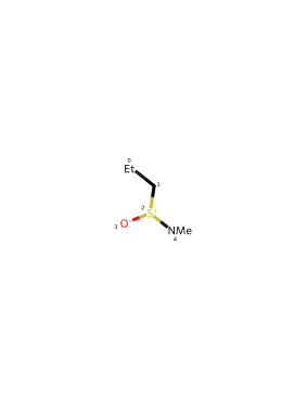 [CH2]CC[S+]([O-])NC